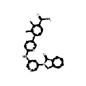 Cc1c(C(N)=O)ccc(-c2ccc(Nc3cncc(N4Cc5ccccc5C4=O)c3)nc2)c1C